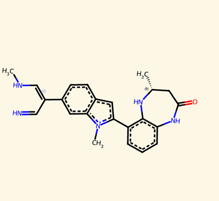 CN/C=C(\C=N)c1ccc2cc(-c3cccc4c3N[C@H](C)CC(=O)N4)n(C)c2c1